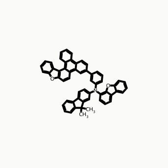 CC1(C)c2ccccc2-c2ccc(N(c3cccc(-c4ccc5c6ccccc6c6c(ccc7oc8ccccc8c76)c5c4)c3)c3cccc4c3oc3ccccc34)cc21